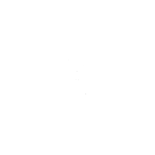 CCCCCCCCC(CCCCCCCC)(OP(=O)(O)O)C(CC)CCCC